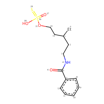 CCC(CCNC(=O)c1ccccc1)CCOS(=O)(O)=S